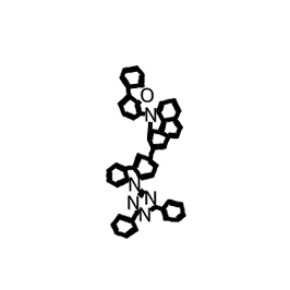 c1ccc(-c2nc(-c3ccccc3)nc(-n3c4ccccc4c4cc(-c5cc6ccc7cccc8c7c6c(c5)n8-c5cccc6c5oc5ccccc56)ccc43)n2)cc1